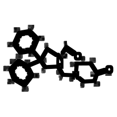 O=CNCC(CCCN1CCC(=O)CC1)(c1ccccc1)c1ccccc1